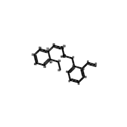 C=Cc1ccccc1CO/N=[C]\c1ccccc1CC